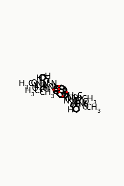 COC(=O)N[C@H](C(=O)N1[C@H](c2nc3cc(-c4cc5ccc4/C=C\c4ccc(c(-c6ccc7[nH]c([C@@H]8C[C@@H]9CCCC[C@@H]9N8C(=O)[C@@H](NC(=O)OC)C(C)C)nc7c6)c4)/C=C\5)ccc3[nH]2)C[C@@H]2CCCC[C@@H]21)C(C)C